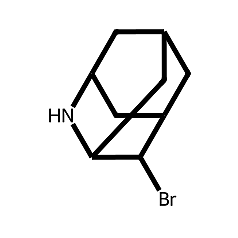 BrC1C2CC3CC(C2)NC1C3